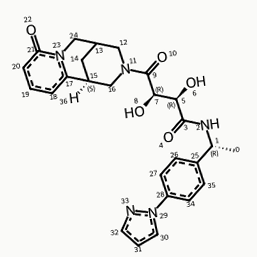 C[C@@H](NC(=O)[C@H](O)[C@@H](O)C(=O)N1CC2C[C@@H](C1)c1cccc(=O)n1C2)c1ccc(-n2cccn2)cc1